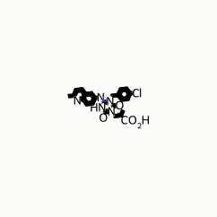 Cc1ccc2cc(/N=c3\[nH]c(=O)n(C[C@H](C)C(=O)O)c(=O)n3Cc3ccc(Cl)cc3)ccc2n1